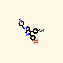 CN1CCC(Cn2ccc3c(-c4ccc(C#N)cc4)c(-c4ccc(S(C)(=O)=O)cc4)ncc32)CC1